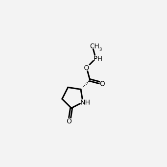 CPOC(=O)[C@H]1CCC(=O)N1